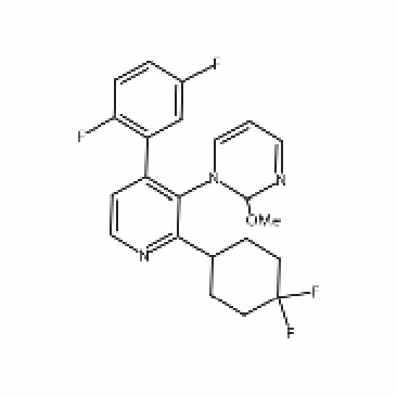 COC1N=CC=CN1c1c(-c2cc(F)ccc2F)ccnc1C1CCC(F)(F)CC1